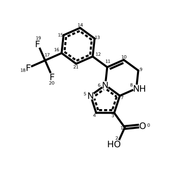 O=C(O)c1cnn2c1NCC=C2c1cccc(C(F)(F)F)c1